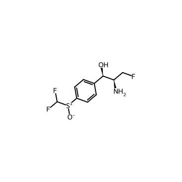 N[C@H](CF)[C@H](O)c1ccc([S+]([O-])C(F)F)cc1